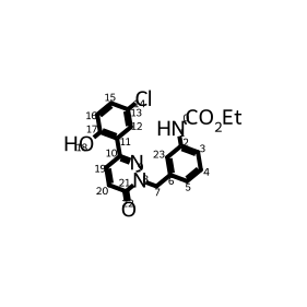 CCOC(=O)Nc1cccc(Cn2nc(-c3cc(Cl)ccc3O)ccc2=O)c1